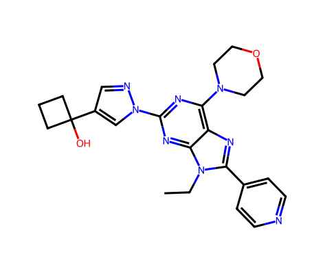 CCn1c(-c2ccncc2)nc2c(N3CCOCC3)nc(-n3cc(C4(O)CCC4)cn3)nc21